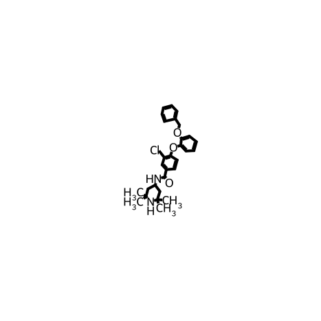 CC1(C)CC(NC(=O)c2ccc(Oc3ccccc3OCc3ccccc3)c(Cl)c2)CC(C)(C)N1